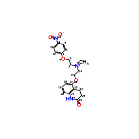 CN(CCOc1ccc([N+](=O)[O-])cc1)CCOc1cccc2c1CCC(=O)N2